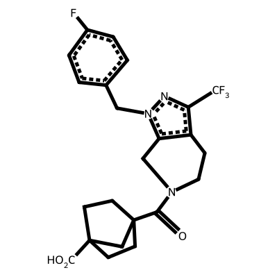 O=C(O)C12CCC(C(=O)N3CCc4c(C(F)(F)F)nn(Cc5ccc(F)cc5)c4C3)(CC1)C2